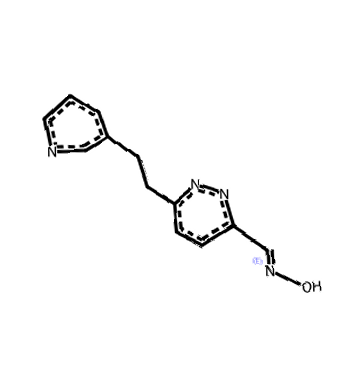 O/N=C/c1ccc(CCc2cccnc2)nn1